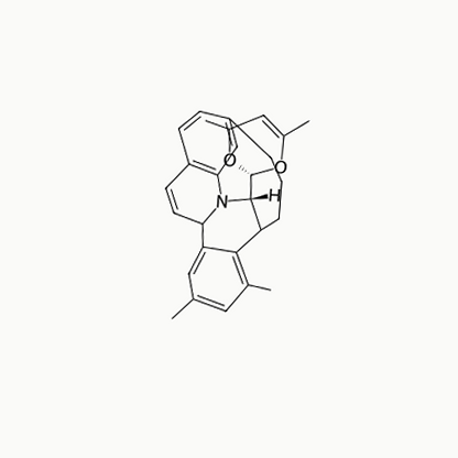 CC1=CC(C)O[C@@H]([C@@H]2C3CCCc4ccc5c(c4)N2C(C=C5)c2cc(C)cc(C)c23)O1